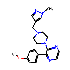 COc1ccc(-c2nccnc2N2CCN(Cc3cnn(C)c3)CC2)cc1